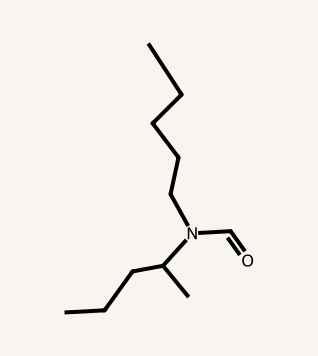 CCCCCN(C=O)C(C)CCC